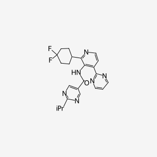 CC(C)c1ncc(C(=O)Nc2c(-c3ncccn3)ccnc2C2CCC(F)(F)CC2)cn1